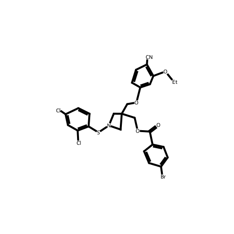 CCOc1cc(OCC2(COC(=O)c3ccc(Br)cc3)CN(Sc3ccc(Cl)cc3Cl)C2)ccc1C#N